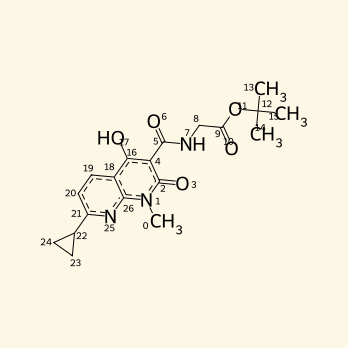 Cn1c(=O)c(C(=O)NCC(=O)OC(C)(C)C)c(O)c2ccc(C3CC3)nc21